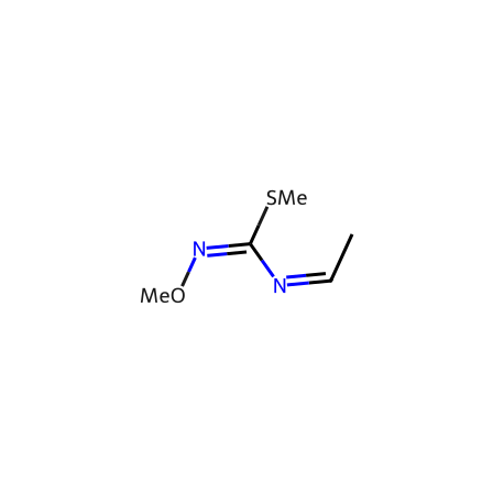 C/C=N\C(=N/OC)SC